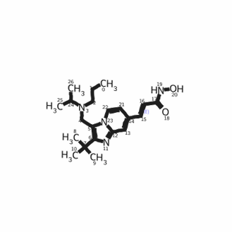 CCCN(Cc1c(C(C)(C)C)nc2cc(/C=C/C(=O)NO)ccn12)C(C)C